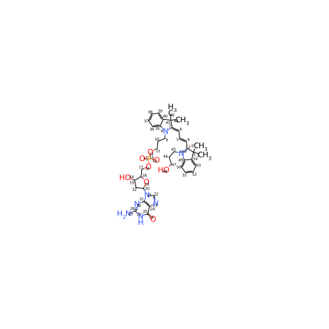 CC1(C)C(/C=C/C=C2\N(CCCOP(=O)([O-])OCC3OC(n4cnc5c(=O)[nH]c(N)nc54)CC3O)c3ccccc3C2(C)C)=[N+](CCCO)c2ccccc21